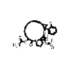 NC(=O)OC1CCCCCC=CC2CC2(c2ccccc2Br)NC(=O)C2(C(=O)N=S(=O)=O)CCCN2C1=O